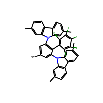 Cc1ccc2c3ccc(C)cc3n(-c3cc(C#N)cc(-n4c5cc(C)ccc5c5ccc(C)cc54)c3-c3c(F)c(F)c(F)c(F)c3F)c2c1